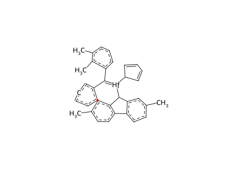 Cc1ccc2c(c1)[CH]([Hf](=[C](c1ccccc1)c1cccc(C)c1C)[CH]1C=CC=C1)c1cc(C)ccc1-2